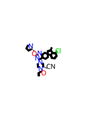 C=CC(=O)N1CCN(c2nc(OC[C@@H]3CCCN3C)nc3c2CCC2(C=C(C)c4c(Cl)cccc42)C3)C[C@@H]1CC#N